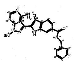 CC(C)(C)n1nc(-c2[nH]c3cc(C(=O)NCc4ccccc4)ccc3c2Cl)c2c(N)ncnc21